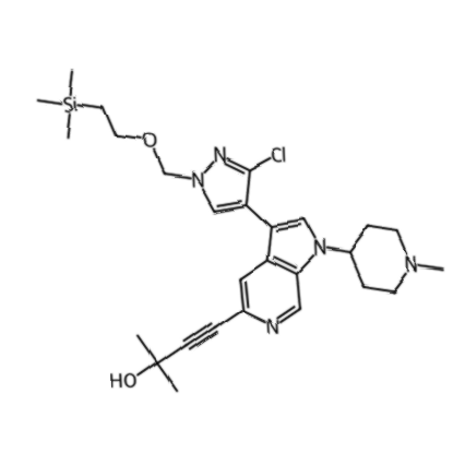 CN1CCC(n2cc(-c3cn(COCC[Si](C)(C)C)nc3Cl)c3cc(C#CC(C)(C)O)ncc32)CC1